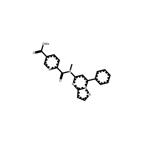 COC(=O)c1ccc(C(=O)N(C)c2cc(-c3ccccc3)n3nccc3n2)nc1